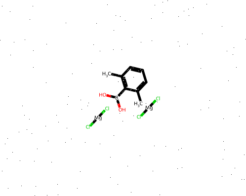 Cc1cccc(C)c1B(O)O.[Cl][Mg][Cl].[Cl][Mg][Cl]